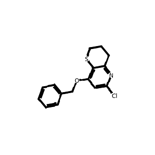 Clc1cc(OCc2ccccc2)c2c(n1)CCCS2